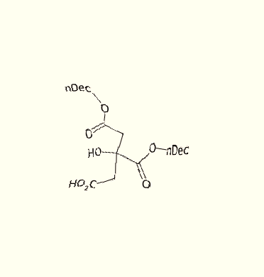 CCCCCCCCCCOC(=O)CC(O)(CC(=O)O)C(=O)OCCCCCCCCCC